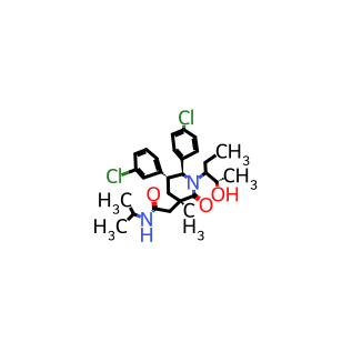 CCC([C@H](C)O)N1C(=O)[C@@](C)(CC(=O)NC(C)C)C[C@H](c2cccc(Cl)c2)[C@H]1c1ccc(Cl)cc1